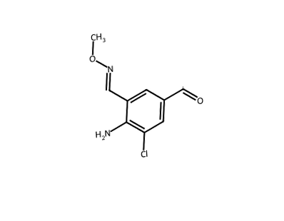 CON=Cc1cc([C]=O)cc(Cl)c1N